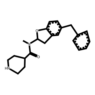 CN(C(=O)C1CCNCC1)C1Cc2cc(Cc3ccccc3)ccc2O1